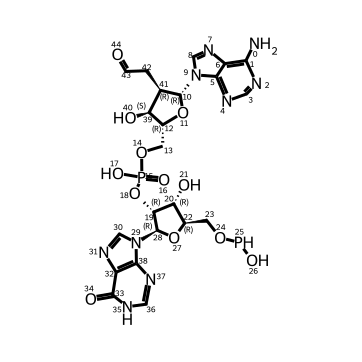 Nc1ncnc2c1ncn2[C@@H]1O[C@H](COP(=O)(O)O[C@@H]2[C@H](O)[C@@H](COPO)O[C@H]2n2cnc3c(=O)[nH]cnc32)[C@@H](O)[C@H]1CC=O